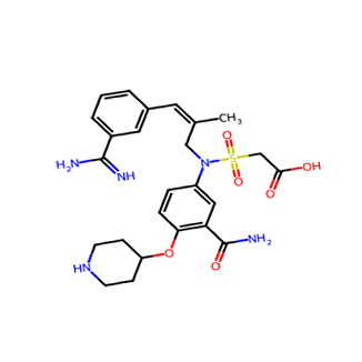 CC(=Cc1cccc(C(=N)N)c1)CN(c1ccc(OC2CCNCC2)c(C(N)=O)c1)S(=O)(=O)CC(=O)O